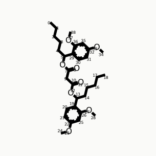 CCCCCC(OC(=O)CC(=O)OC(CCCCC)c1ccc(OC)cc1OC)c1ccc(OC)cc1OC